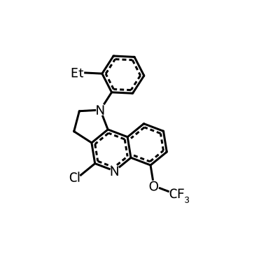 CCc1ccccc1N1CCc2c(Cl)nc3c(OC(F)(F)F)cccc3c21